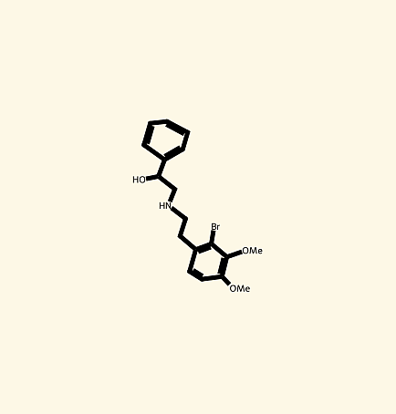 COc1ccc(CCNCC(O)c2ccccc2)c(Br)c1OC